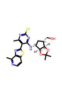 Cc1nc(S)nc(N[C@@H]2C[C@H](CO)[C@H]3OC(C)(C)O[C@H]32)c1-c1nc2c(C)nccc2s1